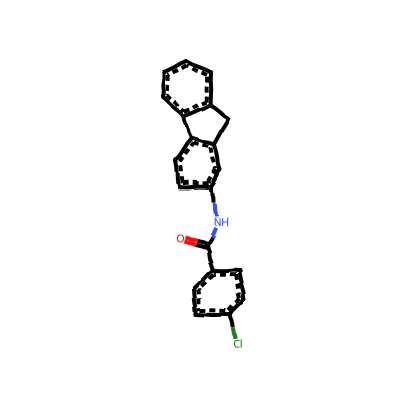 O=C(Nc1ccc2c(c1)Cc1ccccc1-2)c1ccc(Cl)cc1